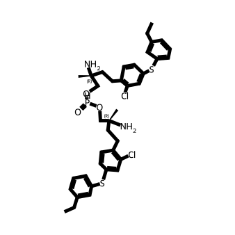 CCc1cccc(Sc2ccc(CC[C@@](C)(N)CO[PH](=O)OC[C@](C)(N)CCc3ccc(Sc4cccc(CC)c4)cc3Cl)c(Cl)c2)c1